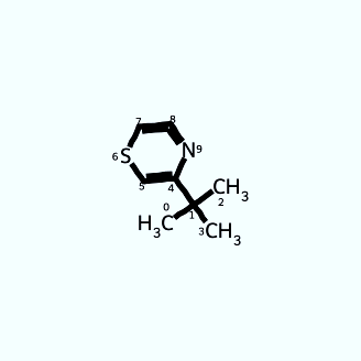 CC(C)(C)C1=CSC=C=N1